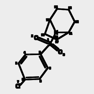 O=S(=O)(c1ccc(Cl)cc1)N1C2CCCC1CC2